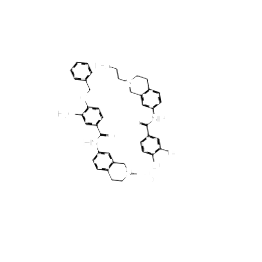 CCc1ccc(C(=O)Nc2ccc3c(c2)CN(CCO)CC3)cc1Br.CN1CCc2ccc(NC(=O)c3ccc(OCc4ccccc4)c(C(F)(F)F)c3)cc2C1